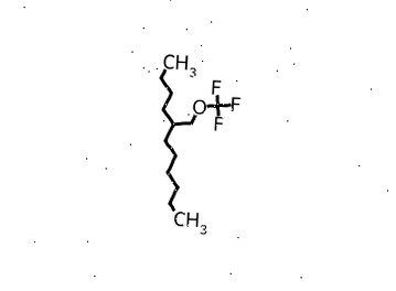 CCCCCCC(CCCC)COC(F)(F)F